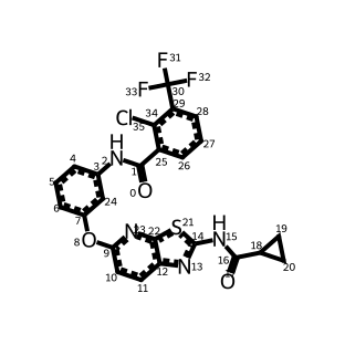 O=C(Nc1cccc(Oc2ccc3nc(NC(=O)C4CC4)sc3n2)c1)c1cccc(C(F)(F)F)c1Cl